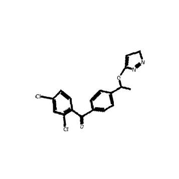 CC(OC1=CCN=N1)c1ccc(C(=O)c2ccc(Cl)cc2Cl)cc1